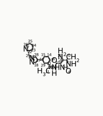 C=C1NC(=O)NC(C(=O)N[C@H](C)c2cccc(-c3cnn(Cc4ccccn4)c3)c2)=C1N